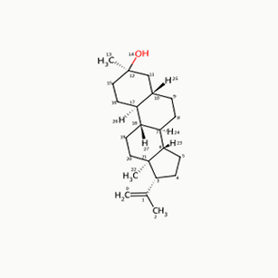 C=C(C)[C@H]1CC[C@H]2[C@@H]3CC[C@H]4C[C@](C)(O)CC[C@@H]4[C@H]3CC[C@]12C